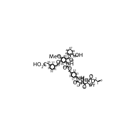 C=CCOC(=O)NC(C(=O)NC(C)C(=O)Nc1ccc(COC(=O)Nc2cc(OCc3cccc(CC(=O)O)c3)c(OC)cc2C(=O)N2CCCCC2CO)cc1)C(C)C